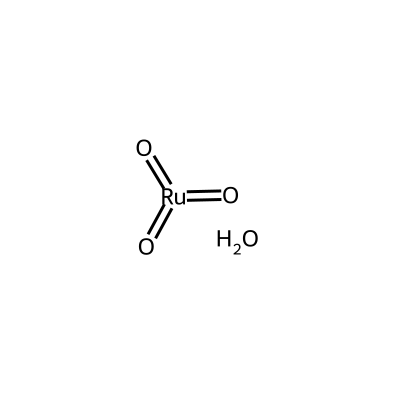 O.[O]=[Ru](=[O])=[O]